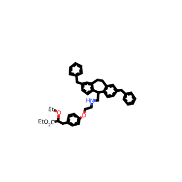 CCOC(=O)C(Cc1ccc(OCCNCC2c3ccc(Cc4ccccc4)cc3CCc3cc(Cc4ccccc4)ccc32)cc1)OCC